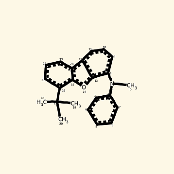 CN(c1ccccc1)c1cccc2c1oc1c(C(C)(C)C)cccc12